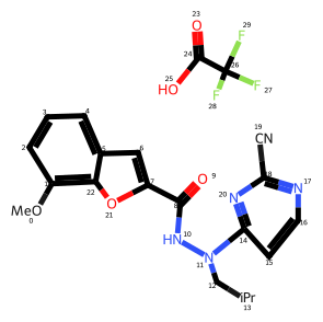 COc1cccc2cc(C(=O)NN(CC(C)C)c3ccnc(C#N)n3)oc12.O=C(O)C(F)(F)F